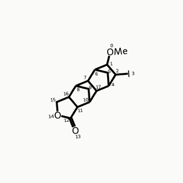 COC1C(I)C2CC1C1C3CC(C4C(=O)OCC34)C21